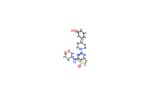 [O-][S+]1CCc2nc(N3CCC(c4cccc(O)c4)CC3)nc(NC3CCOCC3)c21